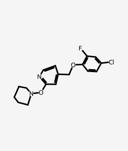 Fc1cc(Cl)ccc1OCc1ccnc(ON2CCCCC2)c1